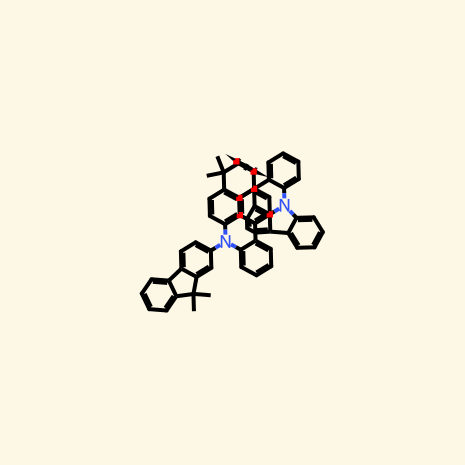 CC1(C)c2ccccc2-c2ccc(N(c3ccc4c(c3)C3(c5ccccc5-n5c6ccccc6c6cccc3c65)c3ccccc3C4(C)C)c3ccccc3-c3ccccc3)cc21